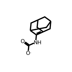 [O]C(=O)NC1=C2CC3CC(C2)CC1C3